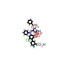 C[C@H](OCc1ccccc1)C1CN(c2ccccc2)c2cc(Cl)c(-c3ccc(F)c(C(=O)O)c3)cc2S(O)(O)N1C